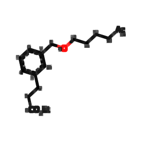 CCOC(=O)CCc1cccc(COCCCCC(C)=O)c1